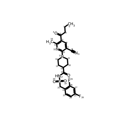 CCCC(=O)c1cc(C#N)c(N2CCC(C(=O)NS(=O)(=O)Cc3ccc(F)cc3F)CC2)nc1C